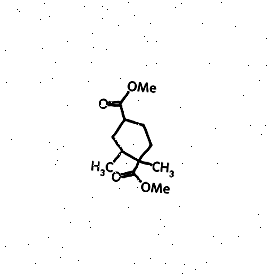 COC(=O)C1CCC(C)(C(=O)OC)C(C)C1